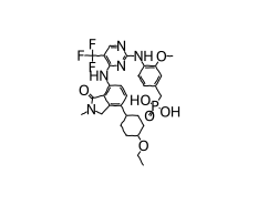 CCOC1CCC(c2ccc(Nc3nc(Nc4ccc(CP(=O)(O)O)cc4OC)ncc3C(F)(F)F)c3c2CN(C)C3=O)CC1